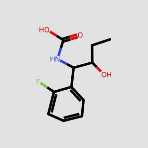 CCC(O)C(NC(=O)O)c1ccccc1F